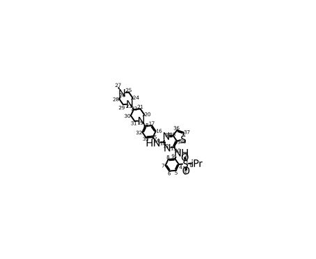 CC(C)S(=O)(=O)c1ccccc1Nc1nc(Nc2ccc(N3CCC(N4CCN(C)CC4)CC3)cc2)nc2ccsc12